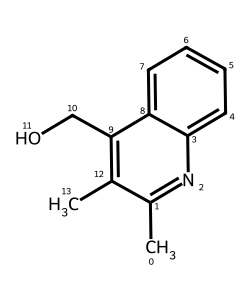 Cc1nc2ccccc2c(CO)c1C